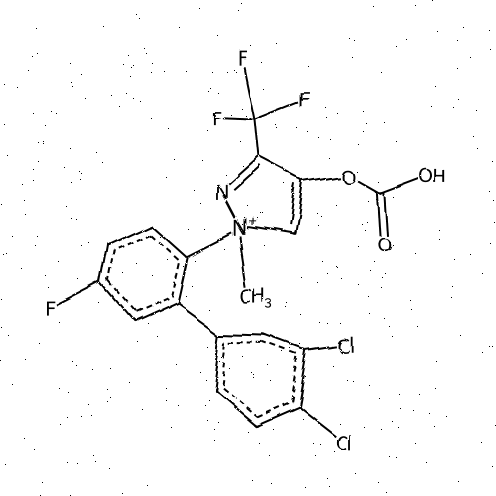 C[N+]1(c2ccc(F)cc2-c2ccc(Cl)c(Cl)c2)C=C(OC(=O)O)C(C(F)(F)F)=N1